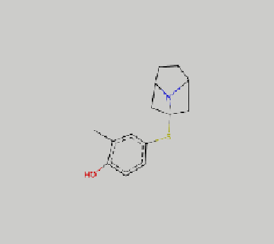 Cc1cc(SC2CC3CCC(C2)N3C)ccc1O